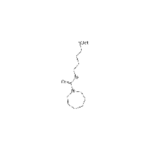 CCCCCCCCCCCC[N]C(=O)N1CCCCCC1